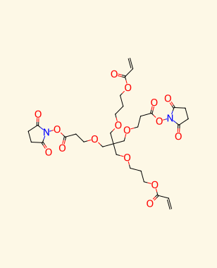 C=CC(=O)OCCCOCC(COCCCOC(=O)C=C)(COCCC(=O)ON1C(=O)CCC1=O)COCCC(=O)ON1C(=O)CCC1=O